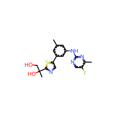 Cc1cc(Nc2ncc(F)c(C)n2)cc(-c2cnc(C(C)(O)CO)s2)c1